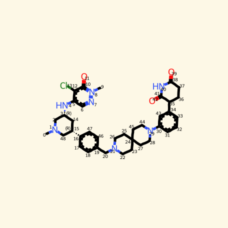 CN1C[C@H](Nc2cnn(C)c(=O)c2Cl)C[C@H](c2ccc(CN3CCC4(CC3)CCN(c3cccc(C5CCC(=O)NC5=O)c3)CC4)cc2)C1